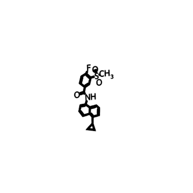 CS(=O)(=O)c1cc(C(=O)Nc2cccc3c(C4CC4)cccc23)ccc1F